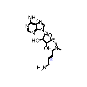 CN(C/C=C/CN)C[C@H]1O[C@@H](n2cnc3c(N)ncnc32)C(O)C1O